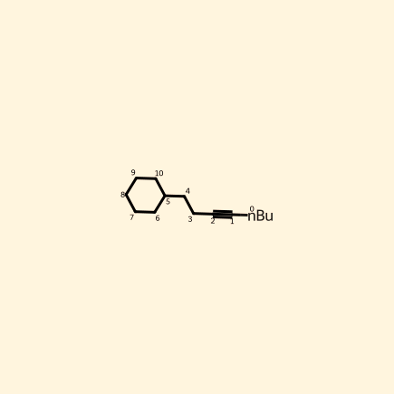 CCCCC#CCCC1CCCCC1